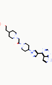 O=C(CN1CCC(CCO)CC1)N1CCC(n2cc(-c3ncnc4[nH]ccc34)cn2)CC1